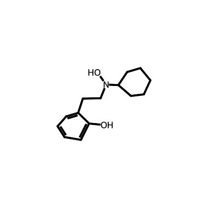 Oc1ccccc1CCN(O)C1CCCCC1